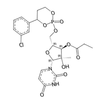 CCC(=O)O[C@@H]1[C@@H](COP2(=O)OCCC(c3cccc(Cl)c3)O2)O[C@@H](n2ccc(=O)[nH]c2=O)[C@]1(C)O